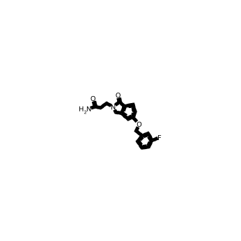 NC(=O)CCN1Cc2cc(OCc3cccc(F)c3)ccc2C1=O